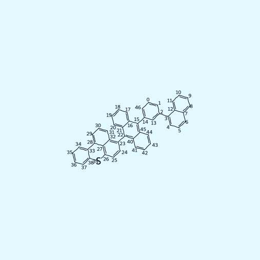 c1cc(-c2cccc3ccccc23)cc(-c2c3ccccc3c(-c3ccc4c5c(cccc35)-c3ccccc3S4)c3ccccc23)c1